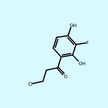 O=C(CCCl)c1ccc(O)c(F)c1O